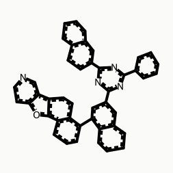 c1ccc(-c2nc(-c3ccc4ccccc4c3)nc(-c3cc(-c4cccc5c4ccc4c6cnccc6oc54)c4ccccc4c3)n2)cc1